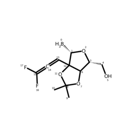 B[C@@H]1O[C@H](CO)C2OC(C)(C)OC21C=C=C(F)F